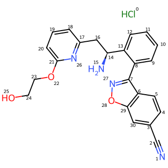 Cl.N#Cc1ccc2c(-c3ccccc3[C@@H](N)Cc3cccc(OCCO)n3)noc2c1